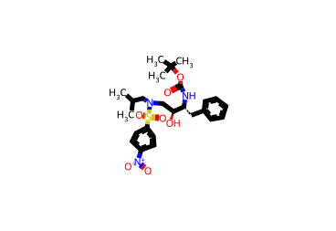 CC(C)CN(C[C@H](O)[C@@H](Cc1ccccc1)NC(=O)OC(C)(C)C)S(=O)(=O)c1ccc([N+](=O)[O-])cc1